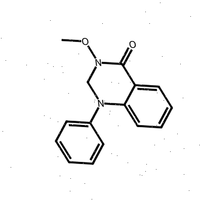 CON1CN(c2ccccc2)c2ccccc2C1=O